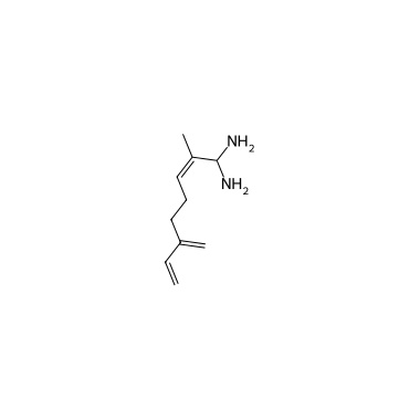 C=CC(=C)CCC=C(C)C(N)N